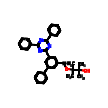 CC(C)(O)C(C)(C)OBc1cc(-c2ccccc2)cc(-c2nc(-c3ccccc3)nc(-c3ccccc3)n2)c1